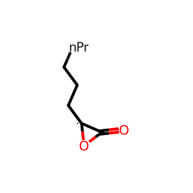 [CH2]CCCCC[C]1OC1=O